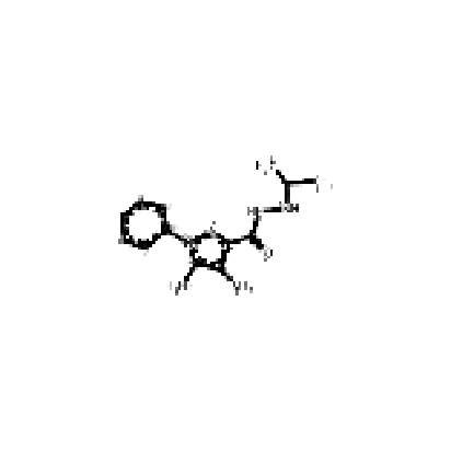 Cc1c(C(=O)NNC(C)C)nn(-c2ccccc2)c1N